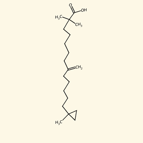 C=C(CCCCCC1(C)CC1)CCCCCC(C)(C)C(=O)O